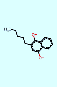 CCCCCc1cc(O)c2ccccc2c1O